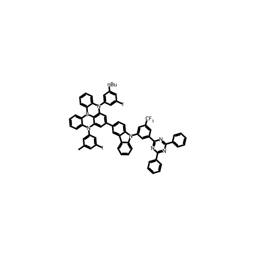 CCCCc1cc(I)cc(N2c3ccccc3B3c4ccccc4N(c4cc(C)cc(I)c4)c4cc(-c5ccc6c(c5)c5ccccc5n6-c5cc(-c6nc(-c7ccccc7)nc(-c7ccccc7)n6)cc(C(F)(F)F)c5)cc2c43)c1